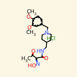 COc1ccc(CN2CCC(CNC(=O)/C(=N/O)C(C)=O)CC2)cc1OC.Cl